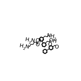 NCCCC(N)C(=O)O.NCCc1ccccc1.O=C(O)Cc1ccccc1.O=Cc1ccc(-c2ccccc2)cc1